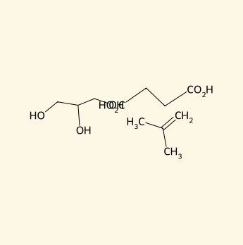 C=C(C)C.O=C(O)CCC(=O)O.OCC(O)CO